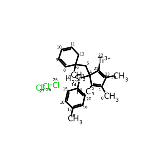 CC1=C(C)C(CC2(C)C=CC=CC2)([SiH2]c2ccc(C)cc2)[C]([Ti+3])=C1C.[Cl-].[Cl-].[Cl-]